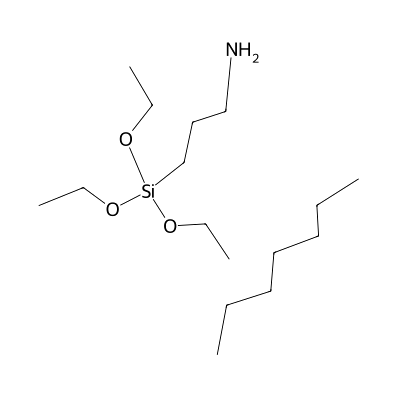 CCCCCCC.CCO[Si](CCCN)(OCC)OCC